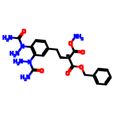 NOC(=O)[C@H](CCc1ccc(N(N)C(N)=O)c(N(N)C(N)=O)c1)C(=O)OCc1ccccc1